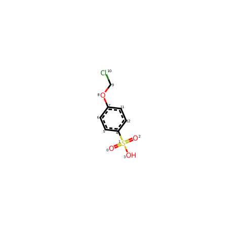 O=S(=O)(O)c1ccc(OCCl)cc1